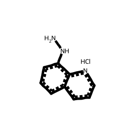 Cl.NNc1cccc2cccnc12